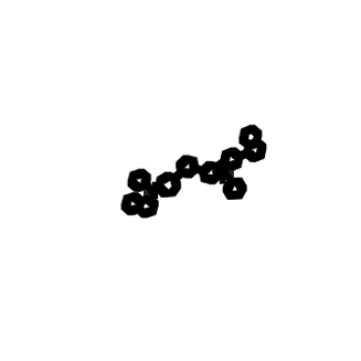 C1=Cc2c(cccc2-c2ccc3c4cc(-c5cccc(C6=CCC=C(N(c7ccccc7)c7cccc8ccccc78)C=C6)c5)ccc4n(-c4ccccc4)c3c2)CC1